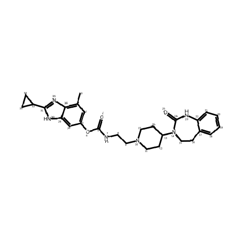 Cc1cc(OC(=O)NCCN2CCC(N3CCc4ccccc4NC3=O)CC2)cc2[nH]c(C3CC3)nc12